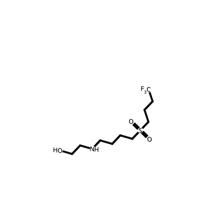 O=S(=O)(CCCCNCCO)CCCC(F)(F)F